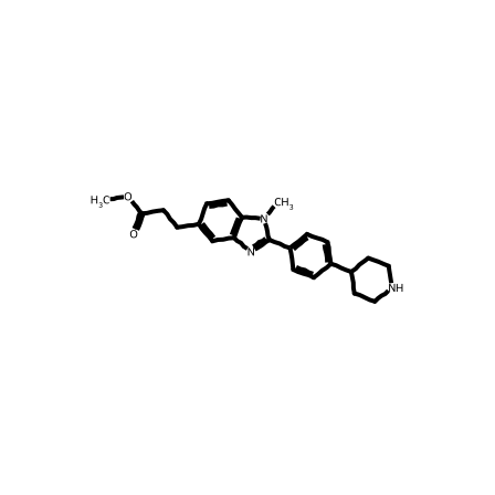 COC(=O)CCc1ccc2c(c1)nc(-c1ccc(C3CCNCC3)cc1)n2C